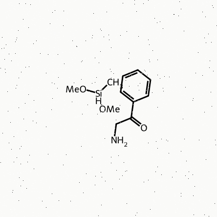 CO[SiH](C)OC.NCC(=O)c1ccccc1